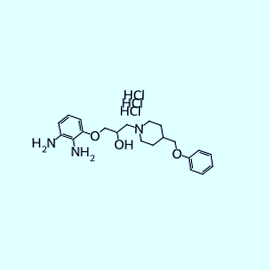 Cl.Cl.Cl.Nc1cccc(OCC(O)CN2CCC(COc3ccccc3)CC2)c1N